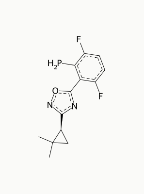 CC1(C)C[C@@H]1c1noc(-c2c(F)ccc(F)c2P)n1